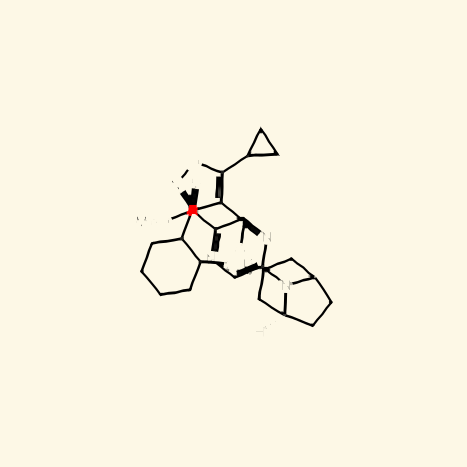 COC(=O)c1cnc(N2C3CC[C@H]2C[C@H](OCc2c(C4CCCCC4C)noc2C2CC2)C3)cn1